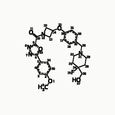 COc1ccc(-c2nnc(C(=O)N3CC(Oc4ccc(CN5CCC(F)(CO)CC5)cc4)C3)o2)cc1